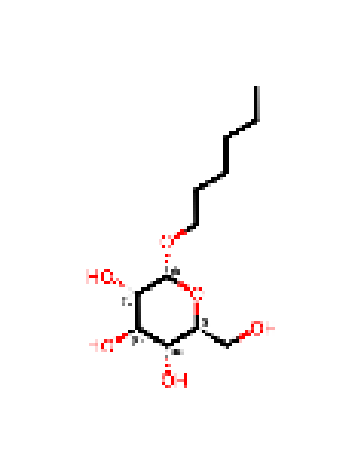 CCCCCCO[C@@H]1O[C@@H](CO)[C@H](O)[C@@H](O)[C@@H]1O